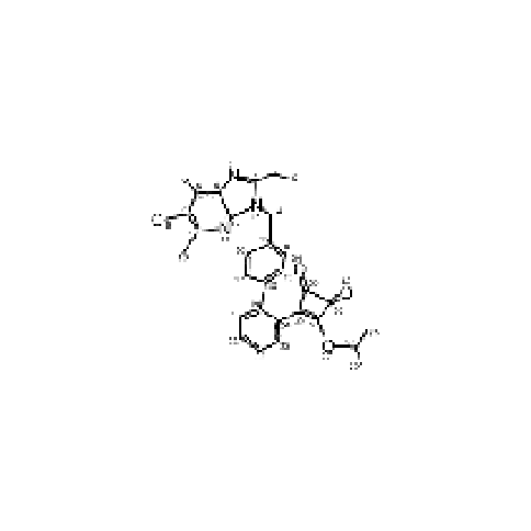 CCc1nc2c(C)c(Cl)c(C)nc2n1Cc1ccc(-c2ccccc2-c2c(OC(C)C)c(=O)c2=O)cc1